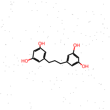 Oc1cc(O)cc(CCCc2cc(O)cc(O)c2)c1